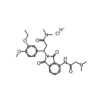 CCOc1cc(C(CC(=O)N(C)C)N2C(=O)c3cccc(NC(=O)CN(C)C)c3C2=O)ccc1OC.[Cl-].[H+]